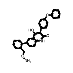 NOCc1ccccc1-c1ccc2[nH]c(=O)c(-c3ccc(Oc4ccccc4)cc3)c(O)c2c1